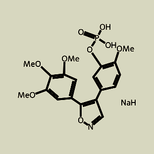 COc1ccc(-c2cnoc2-c2cc(OC)c(OC)c(OC)c2)cc1OP(=O)(O)O.[NaH]